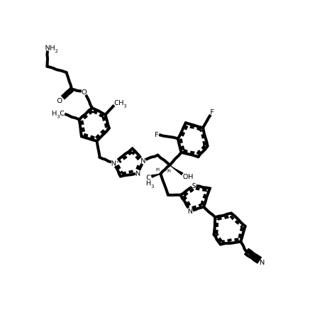 Cc1cc(C[n+]2cnn(C[C@](O)(c3ccc(F)cc3F)[C@H](C)Cc3nc(-c4ccc(C#N)cc4)cs3)c2)cc(C)c1OC(=O)CCN